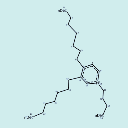 CCCCCCCCCCCCCCCCc1cc[n+](CCCCCCCCCCCCC)cc1CCCCCCCCCCCCCCCC